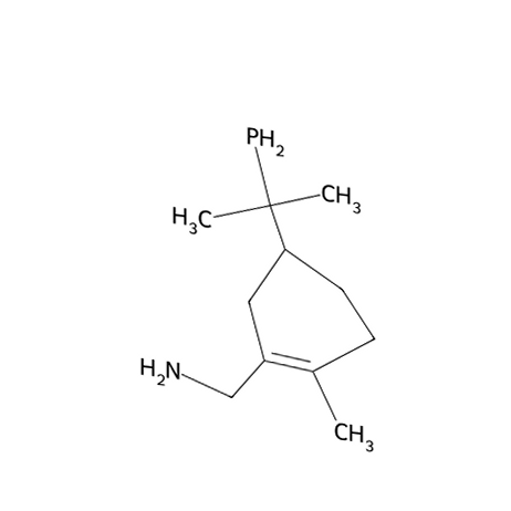 CC1=C(CN)CC(C(C)(C)P)CC1